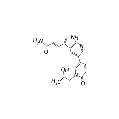 C[C@@H](O)Cn1cc(-c2cnc3[nH]cc(/C=C/C(N)=O)c3c2)ccc1=O